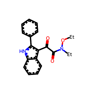 CCON(CC)C(=O)C(=O)c1c(-c2ccccc2)[nH]c2ccccc12